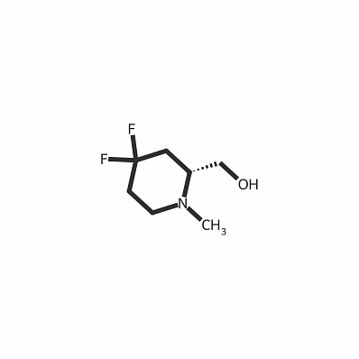 CN1CCC(F)(F)C[C@@H]1CO